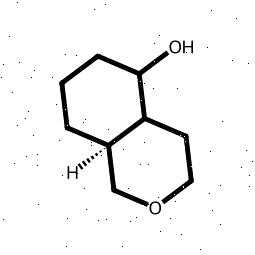 OC1CCC[C@@H]2COCCC12